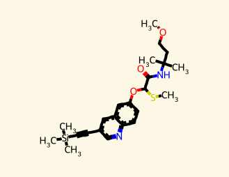 COCCC(C)(C)NC(=O)C(Oc1ccc2ncc(C#C[Si](C)(C)C)cc2c1)SC